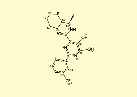 C[C@@H](NC(=O)c1nc(-c2cccc(C(F)(F)F)n2)nc(O)c1O)C1CCCCC1